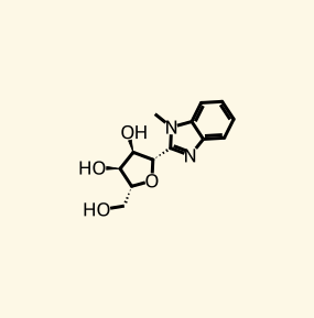 Cn1c([C@@H]2O[C@H](CO)[C@@H](O)[C@H]2O)nc2ccccc21